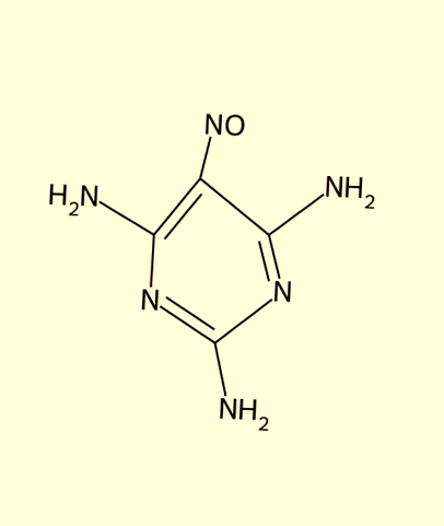 Nc1nc(N)c(N=O)c(N)n1